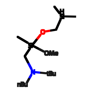 CCCCN(C[Si](C)(OC)OC[SiH](C)C)C(C)(C)C